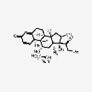 C[C@@H]1C[C@H]2[C@@H]3CCC4=CC(=O)C=C[C@]4(C)[C@@]3(F)[C@@H](O)C[C@]2(C)[C@@]1(O)C(=O)CO.O=S(=O)(O)O.[NaH]